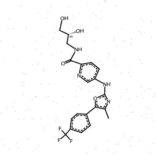 Cc1nc(Nc2ccc(C(=O)NC[C@@H](O)CO)nc2)oc1-c1ccc(C(F)(F)F)cc1